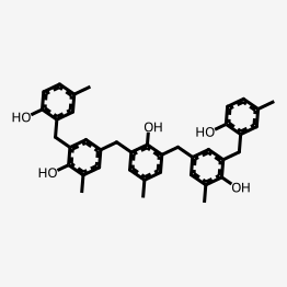 Cc1ccc(O)c(Cc2cc(Cc3cc(C)cc(Cc4cc(C)c(O)c(Cc5cc(C)ccc5O)c4)c3O)cc(C)c2O)c1